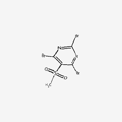 CS(=O)(=O)c1c(Br)nc(Br)nc1Br